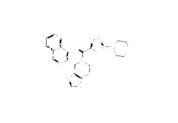 O=C(c1nnc(N2CCOCC2)o1)N1CCc2[nH]cnc2[C@@H]1c1cc2ccccc2cn1